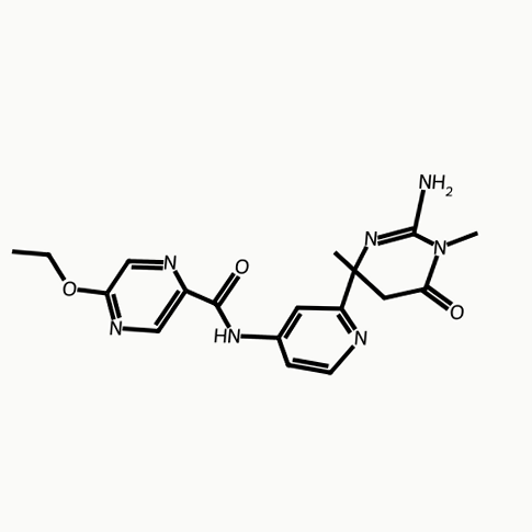 CCOc1cnc(C(=O)Nc2ccnc(C3(C)CC(=O)N(C)C(N)=N3)c2)cn1